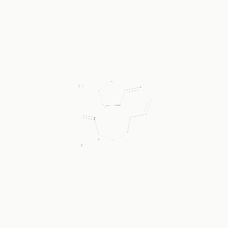 CC(C)[C@H]1CCc2cccc3c2N(C1=O)[C@H](C(C)C)C3